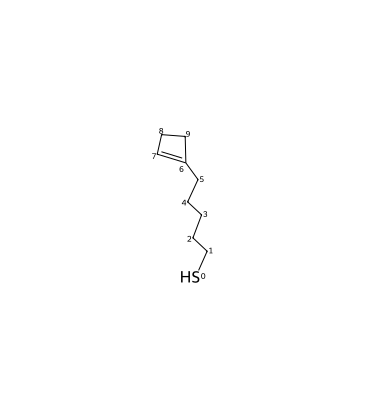 SCCCCCC1=CCC1